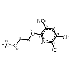 N#Cc1cc(Cl)c(Cl)nc1OCCOC(F)(F)F